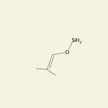 CC(C)=CO[SiH2]